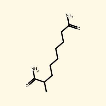 CC(CCCCCCC(N)=O)C(N)=O